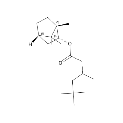 CC(CC(=O)O[C@@H]1C[C@@H]2CC[C@@]1(C)C2(C)C)CC(C)(C)C